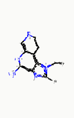 CCCCc1nc2c(n1CC(C)C)=C1C=CNC=C1NC=2N